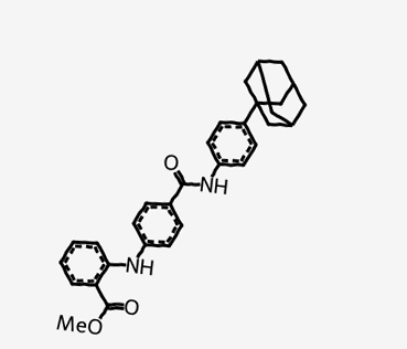 COC(=O)c1ccccc1Nc1ccc(C(=O)Nc2ccc(C34CC5CC(CC(C5)C3)C4)cc2)cc1